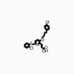 COc1ccc(CCCCOc2ccc(CSc3ccccc3Cl)nc2C=CC(=O)O)cc1